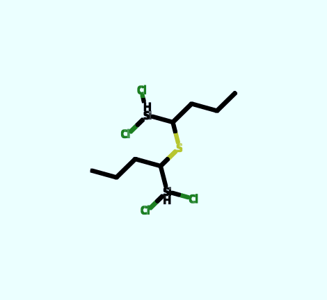 CCCC(SC(CCC)[SiH](Cl)Cl)[SiH](Cl)Cl